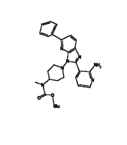 CN(C(=O)OC(C)(C)C)C1CCN(n2c(-c3cccnc3N)nc3ccc(-c4ccccc4)nc32)CC1